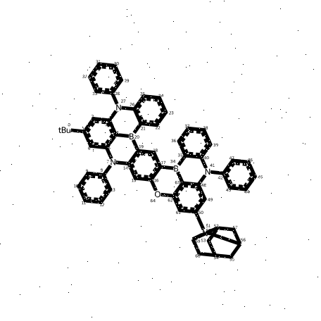 CC(C)(C)c1cc2c3c(c1)N(c1ccccc1)c1cc4c(cc1B3c1ccccc1N2c1ccccc1)B1c2ccccc2N(c2ccccc2)c2cc(N3C5CC6CC(C5)CC3C6)cc(c21)O4